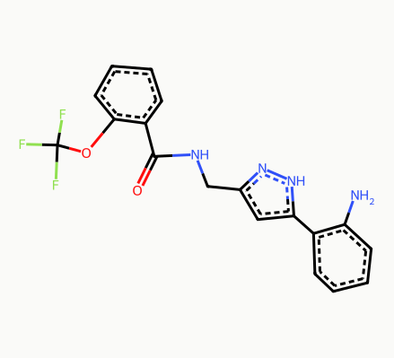 Nc1ccccc1-c1cc(CNC(=O)c2ccccc2OC(F)(F)F)n[nH]1